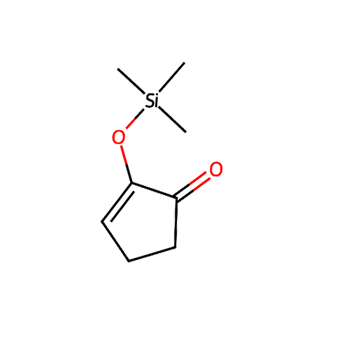 C[Si](C)(C)OC1=CCCC1=O